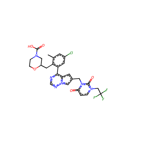 Cc1cc(Cl)cc(-c2ncnn3cc(Cn4c(=O)ccn(CC(F)(F)F)c4=O)cc23)c1CC1CN(C(=O)O)CCO1